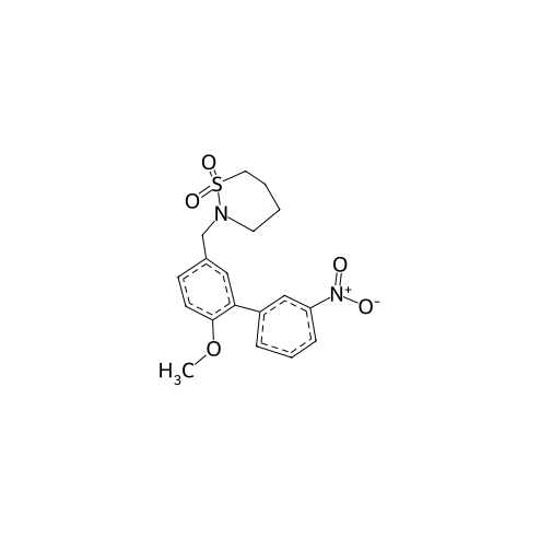 COc1ccc(CN2CCCCS2(=O)=O)cc1-c1cccc([N+](=O)[O-])c1